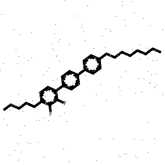 CCCCCCCCc1ccc(-c2ccc(-c3ccc(CCCCC)c(F)c3F)cc2)cc1